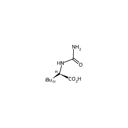 CC[C@H](C)[C@@H](NC(N)=O)C(=O)O